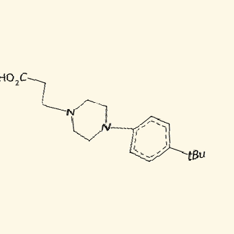 CC(C)(C)c1ccc(N2CCN(CCC(=O)O)CC2)cc1